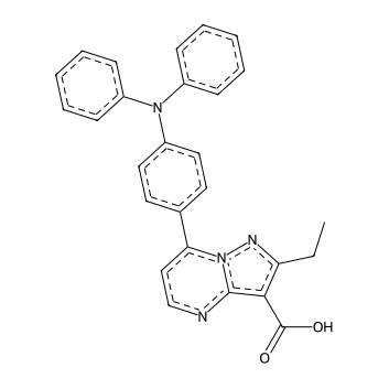 CCc1nn2c(-c3ccc(N(c4ccccc4)c4ccccc4)cc3)ccnc2c1C(=O)O